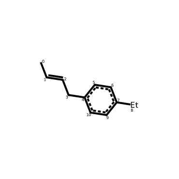 CC=CCc1ccc(CC)cc1